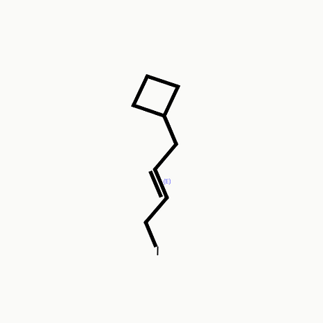 IC/C=C/CC1CCC1